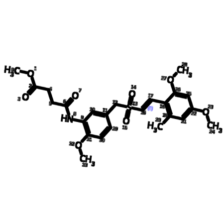 COC(=O)CCC(=O)Nc1cc(CS(=O)(=O)/C=C/c2c(C)cc(OC)cc2OC)ccc1OC